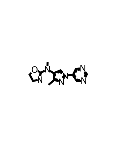 Cc1nn(-c2cncnc2)cc1N(C)C1=NCCO1